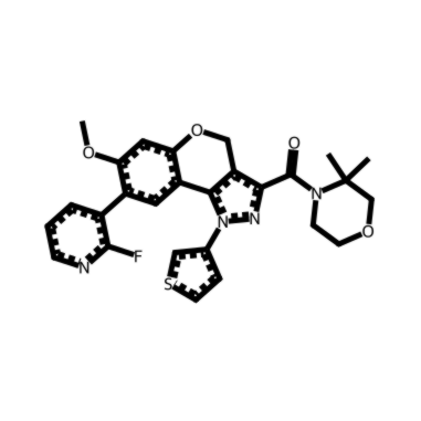 COc1cc2c(cc1-c1cccnc1F)-c1c(c(C(=O)N3CCOCC3(C)C)nn1-c1ccsc1)CO2